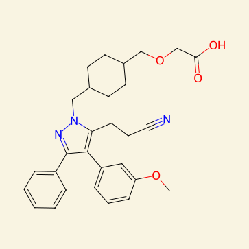 COc1cccc(-c2c(-c3ccccc3)nn(CC3CCC(COCC(=O)O)CC3)c2CCC#N)c1